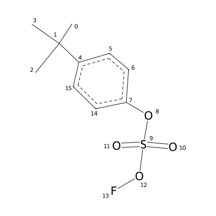 CC(C)(C)c1ccc(OS(=O)(=O)OF)cc1